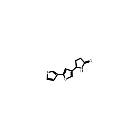 O=C1CCC(c2coc(-c3ccsc3)c2)N1